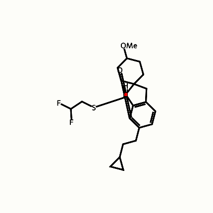 COC1CCC2(CC1)Cc1ccc(CCC3CC3)cc1C21N=C(SCC(F)F)NC1=O